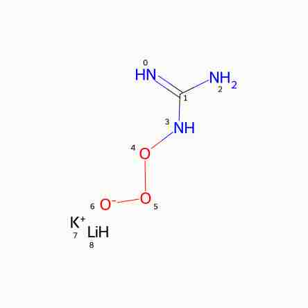 N=C(N)NOO[O-].[K+].[LiH]